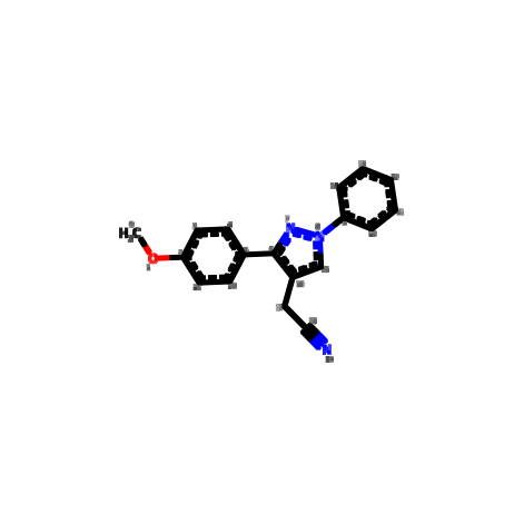 COc1ccc(-c2nn(-c3ccccc3)cc2CC#N)cc1